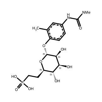 CNC(=O)Nc1ccc(O[C@H]2O[C@H](CCP(=O)(O)O)[C@@H](O)[C@H](O)[C@@H]2O)c(C)c1